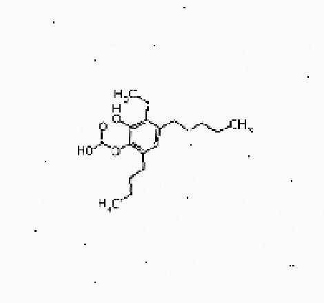 CCCCCc1cc(CCCC)c(OC(=O)O)c(O)c1CC